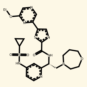 CCOc1cncc(-c2cnc(C(=O)N[C@H](CN3CCCOCC3)c3cc(NS(=O)(=O)C4CC4)ccn3)s2)n1